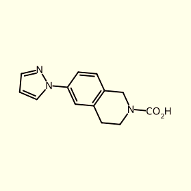 O=C(O)N1CCc2cc(-n3cccn3)ccc2C1